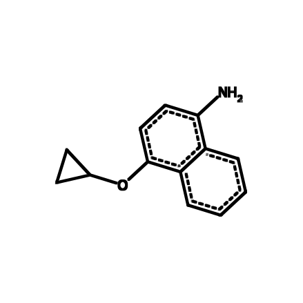 Nc1ccc(OC2CC2)c2ccccc12